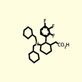 O=C(O)CC1CCCC(N(CC2CCCCC2)CC2CCCCC2)C1c1ccc(F)c(F)c1F